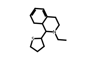 CCN1CCC2=CC=CCC2C1C1CCCS1